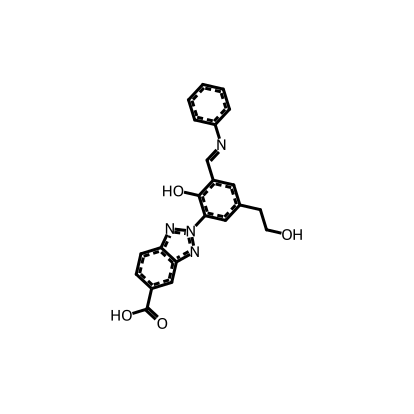 O=C(O)c1ccc2nn(-c3cc(CCO)cc(C=Nc4ccccc4)c3O)nc2c1